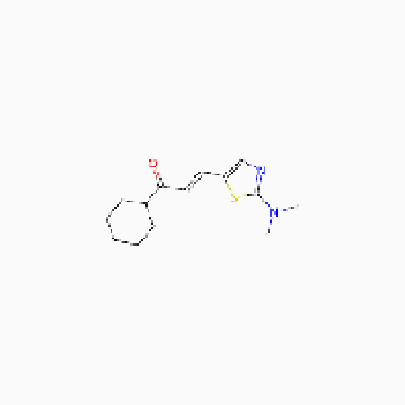 CN(C)c1ncc(C=CC(=O)C2CCCCC2)s1